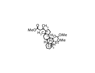 CC[C@H]1[C@@H](OC(OC)OC)[C@@H]2[C@H](CC[C@]3(C)[C@@H]([C@H](C)CC(=O)OC)CC[C@@H]23)[C@@]2(C)CCCC[C@@H]12